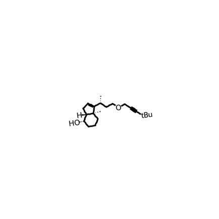 C[C@H](CCOCC#CC(C)(C)C)C1=CC[C@H]2[C@@H](O)CCC[C@]12C